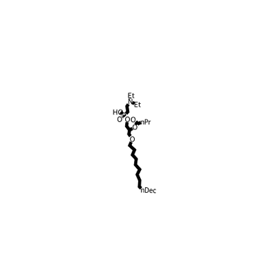 CCCCCCCCCCCCCCCCCCCOCC(COP(=O)(O)CCN(CC)CC)OC(=O)CCC